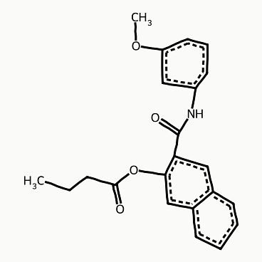 CCCC(=O)Oc1cc2ccccc2cc1C(=O)Nc1cccc(OC)c1